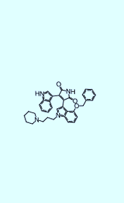 O=C1NC(=O)C(c2cn(CCCN3CCCCC3)c3cccc(OCc4ccccc4)c23)=C1c1c[nH]c2ccccc12